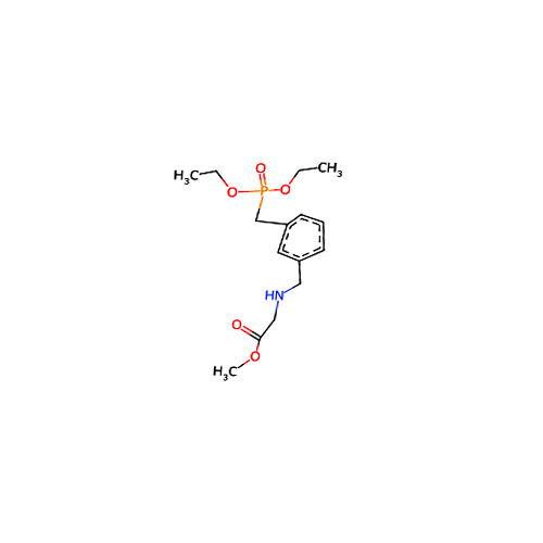 CCOP(=O)(Cc1cccc(CNCC(=O)OC)c1)OCC